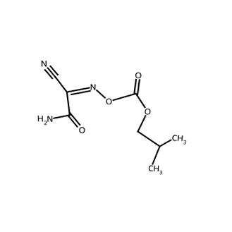 CC(C)COC(=O)ON=C(C#N)C(N)=O